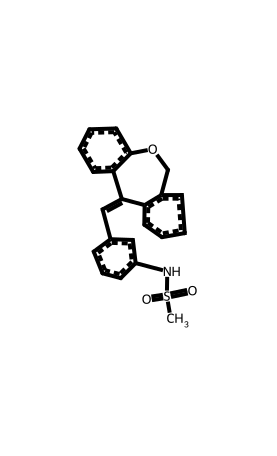 CS(=O)(=O)Nc1cccc(/C=C2\c3ccccc3COc3ccccc32)c1